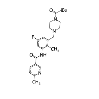 CCC(C)C(=O)N1CCN(Cc2cc(F)cc(NC(=O)c3ccc(C)nc3)c2C)CC1